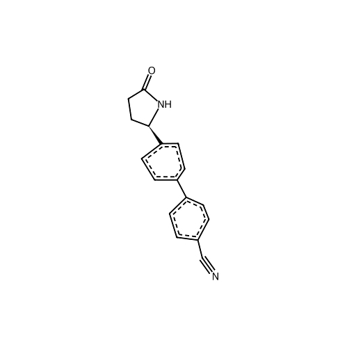 N#Cc1ccc(-c2ccc([C@H]3CCC(=O)N3)cc2)cc1